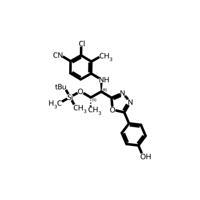 [C-]#[N+]c1ccc(N[C@@H](c2nnc(-c3ccc(O)cc3)o2)[C@H](C)O[Si](C)(C)C(C)(C)C)c(C)c1Cl